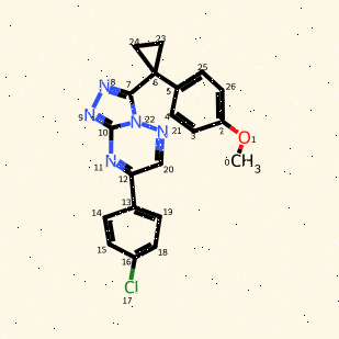 COc1ccc(C2(c3nnc4nc(-c5ccc(Cl)cc5)cnn34)CC2)cc1